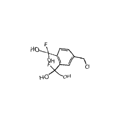 OC(O)(F)c1ccc(CCl)cc1C(O)(O)F